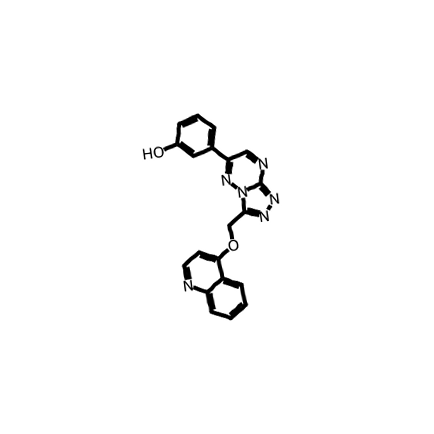 Oc1cccc(-c2cnc3nnc(COc4ccnc5ccccc45)n3n2)c1